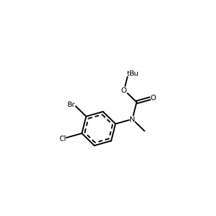 CN(C(=O)OC(C)(C)C)c1ccc(Cl)c(Br)c1